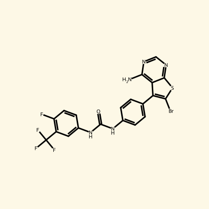 Nc1ncnc2sc(Br)c(-c3ccc(NC(=O)Nc4ccc(F)c(C(F)(F)F)c4)cc3)c12